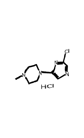 CN1CCN(c2cncc(Cl)n2)CC1.Cl